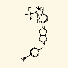 N#Cc1ccc(CN2CC3CN(c4ccc5nnc(C(F)(F)F)n5n4)CC3C2)cc1